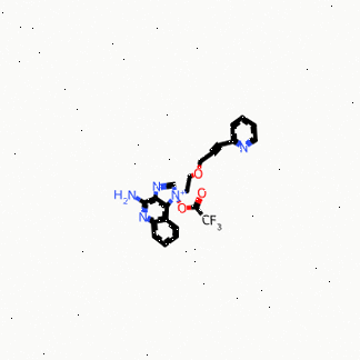 Nc1nc2ccccc2c2c1N=C[N+]2(CCOCC#Cc1ccccn1)OC(=O)C(F)(F)F